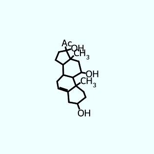 CC(=O)C1(O)CCC2C3CC=C4CC(O)CCC4(C)C3C(O)CC21C